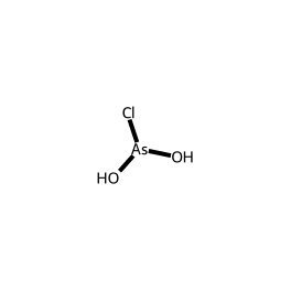 O[As](O)Cl